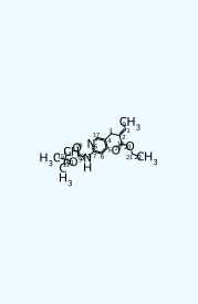 C/C=C(\Cc1ccc(NC(=O)OC(C)(C)C)nc1)C(=O)OCC